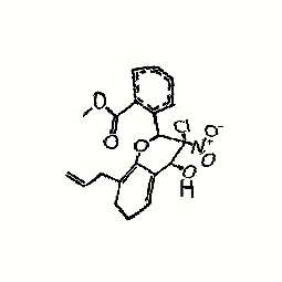 C=CCC1=C2O[C@@H](c3ccccc3C(=O)OC)[C@](Cl)([N+](=O)[O-])[C@@H](O)C2=CCC1